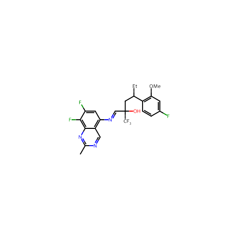 CCC(CC(O)(C=Nc1cc(F)c(F)c2nc(C)ncc12)C(F)(F)F)c1ccc(F)cc1OC